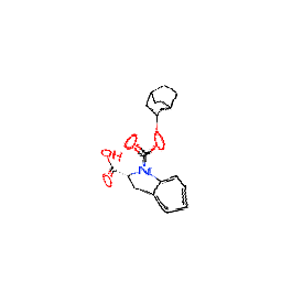 O=C(O)[C@H]1Cc2ccccc2N1C(=O)OC1CC2CCC1C2